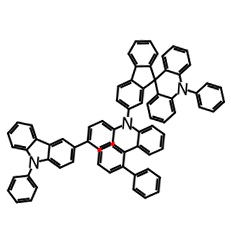 c1ccc(-c2ccccc2-c2ccccc2N(c2ccc(-c3ccc4c(c3)c3ccccc3n4-c3ccccc3)cc2)c2ccc3c(c2)C2(c4ccccc4-3)c3ccccc3N(c3ccccc3)c3ccccc32)cc1